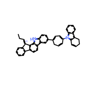 CC/C=C1\c2ccccc2-c2ccc3c([nH]c4ccc(C5=CC=C(n6c7c(c8ccccc86)CCC=C7)C=CC5)cc43)c21